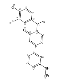 CCCNc1nccc(-c2ccn(C(C)c3ccc(Cl)c(F)c3)c(=O)c2)n1